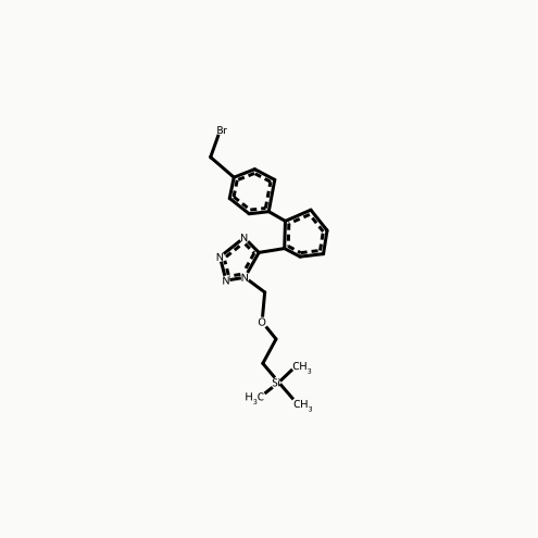 C[Si](C)(C)CCOCn1nnnc1-c1ccccc1-c1ccc(CBr)cc1